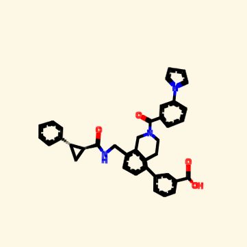 O=C(O)c1cccc(-c2ccc(CNC(=O)[C@H]3C[C@@H]3c3ccccc3)c3c2CCN(C(=O)c2cccc(-n4cccc4)c2)C3)c1